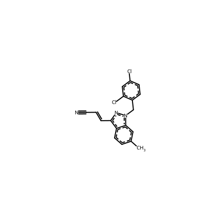 Cc1ccc2c(/C=C/C#N)nn(Cc3ccc(Cl)cc3Cl)c2c1